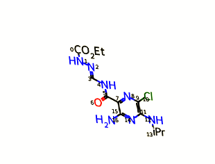 CCOC(=O)NN=CNC(=O)c1nc(Cl)c(NC(C)C)nc1N